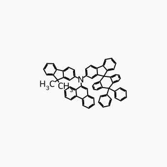 CC1(C)c2ccccc2-c2ccc(N(c3ccc4c(c3)C3(c5ccccc5-4)c4ccccc4C(c4ccccc4)(c4ccccc4)c4ccccc43)c3cc4ccccc4c4ccccc34)cc21